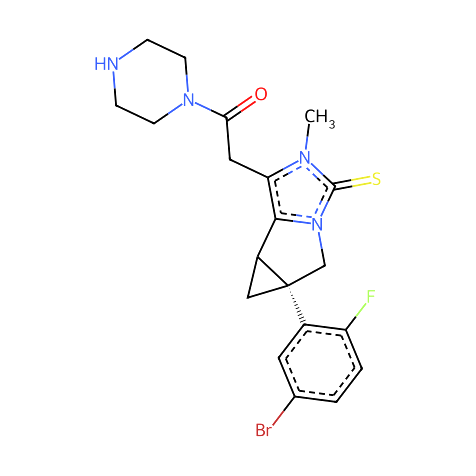 Cn1c(CC(=O)N2CCNCC2)c2n(c1=S)C[C@@]1(c3cc(Br)ccc3F)CC21